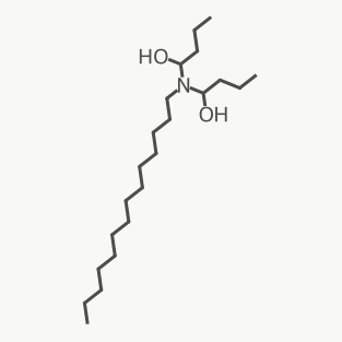 CCCCCCCCCCCCCCN(C(O)CCC)C(O)CCC